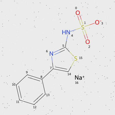 O=S(=O)([O-])Nc1nc(-c2ccccc2)cs1.[Na+]